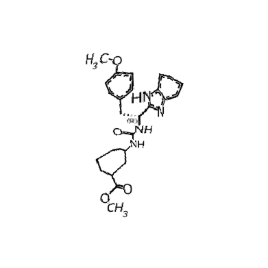 COC(=O)C1CCCC(NC(=O)N[C@H](Cc2ccc(OC)cc2)c2nc3ccccc3[nH]2)C1